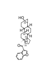 C[C@]12CC[C@@H]3[C@H]4CC[C@]5(O)CC5[C@H]4CC[C@H]3[C@@H]1CC[C@@H]2C(=O)c1coc2ccccc12